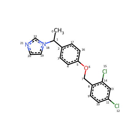 CC(c1ccc(OCc2ccc(Cl)cc2Cl)cc1)n1ccnc1